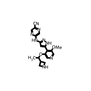 COc1cncc(OC(C)C2CNC2)c1-c1cc(Nc2cnc(C#N)cn2)n[nH]1